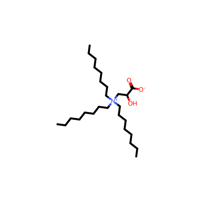 CCCCCCCC[N+](CCCCCCCC)(CCCCCCCC)CC(O)C(=O)[O-]